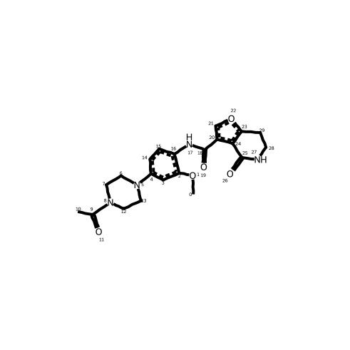 COc1cc(N2CCN(C(C)=O)CC2)ccc1NC(=O)c1coc2c1C(=O)NCC2